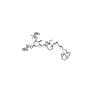 C=C1/C(=C\C=C2/CCC[C@]3(C)[C@@H]([C@H](C)/C=C/CCC4(C5(C)OCCO5)CC4)CC[C@@H]23)C[C@@H](O[Si](C)(C)C(C)(C)C)C[C@@H]1O[Si](C)(C)C(C)(C)C